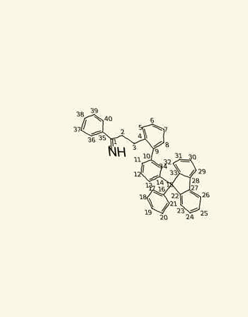 N=C(CCc1ccccc1-c1cccc(C2(c3ccccc3)c3ccccc3-c3ccccc32)c1)c1ccccc1